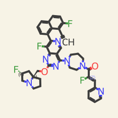 C#Cc1c(F)ccc2cccc(-c3ncc4c(N5CCCN(C(=O)/C(F)=C/c6ccccn6)CC5)nc(OC[C@@]56CCCN5C[C@H](F)C6)nc4c3F)c12